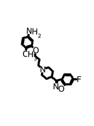 Cc1ccc(N)cc1OCCCN1CCC(c2noc3cc(F)ccc23)CC1